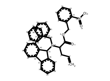 C=CCC(C(=O)OCc1ccccc1[N+](=O)[O-])N(Cc1ccccc1)C1c2ccccc2-c2cccc(-c3ccccc3)c21